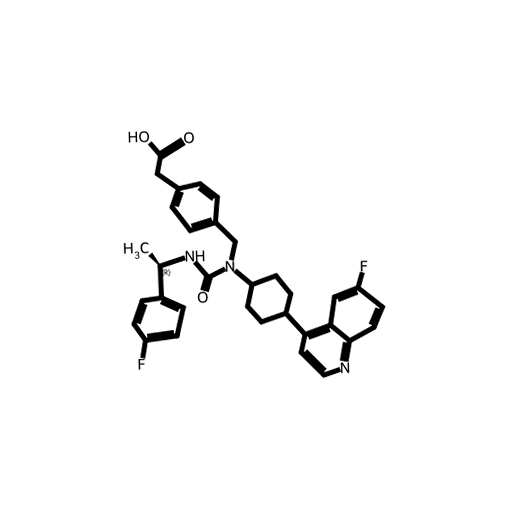 C[C@@H](NC(=O)N(Cc1ccc(CC(=O)O)cc1)C1CCC(c2ccnc3ccc(F)cc23)CC1)c1ccc(F)cc1